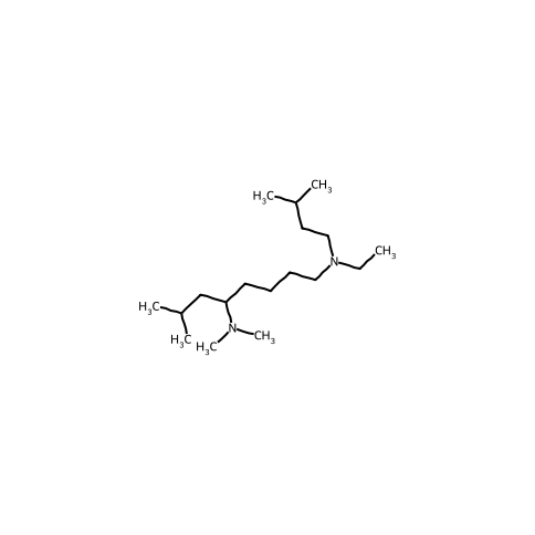 CCN(CCCCC(CC(C)C)N(C)C)CCC(C)C